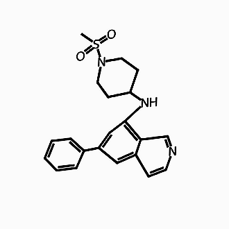 CS(=O)(=O)N1CCC(Nc2cc(-c3ccccc3)cc3ccncc23)CC1